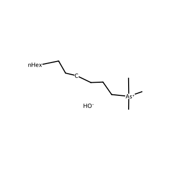 CCCCCCCCCCCC[As+](C)(C)C.[OH-]